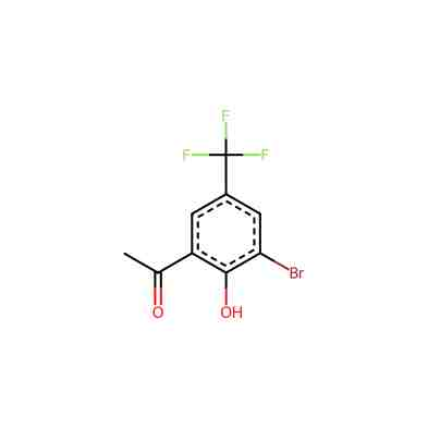 CC(=O)c1cc(C(F)(F)F)cc(Br)c1O